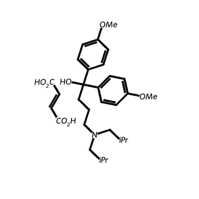 COc1ccc(C(O)(CCCN(CC(C)C)CC(C)C)c2ccc(OC)cc2)cc1.O=C(O)C=CC(=O)O